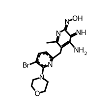 CC1=N/C(=N/O)C(=N)C(N)=C1Cc1ccc(Br)c(N2CCOCC2)n1